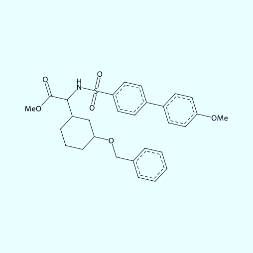 COC(=O)C(NS(=O)(=O)c1ccc(-c2ccc(OC)cc2)cc1)C1CCCC(OCc2ccccc2)C1